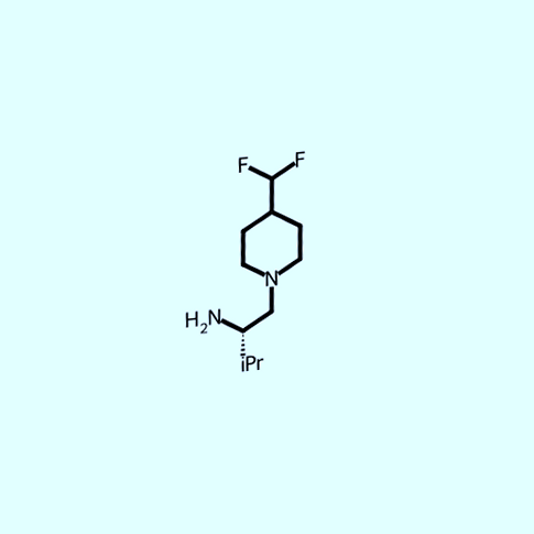 CC(C)[C@H](N)CN1CCC(C(F)F)CC1